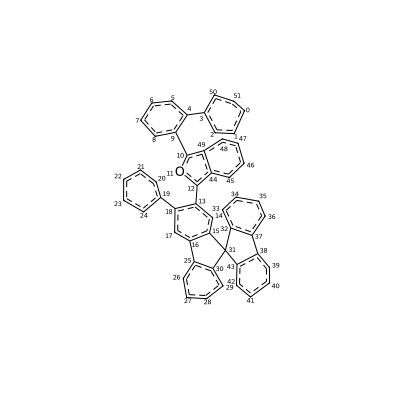 c1ccc(-c2ccccc2-c2oc(-c3cc4c(cc3-c3ccccc3)-c3ccccc3C43c4ccccc4-c4ccccc43)c3ccccc23)cc1